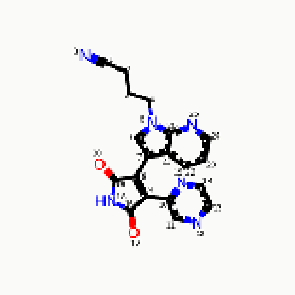 N#CCCCn1cc(C2=C(c3cnccn3)C(=O)NC2=O)c2cccnc21